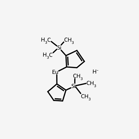 C[Si](C)(C)C1=[C]([Eu][C]2=C([Si](C)(C)C)C=CC2)CC=C1.[H-]